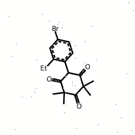 CCc1cc(Br)ccc1C1C(=O)C(C)(C)C(=O)C(C)(C)C1=O